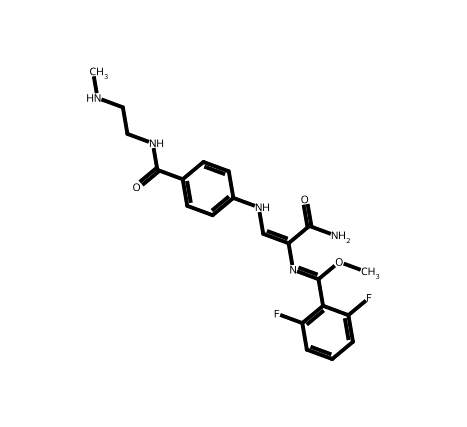 CNCCNC(=O)c1ccc(N/C=C(/N=C(\OC)c2c(F)cccc2F)C(N)=O)cc1